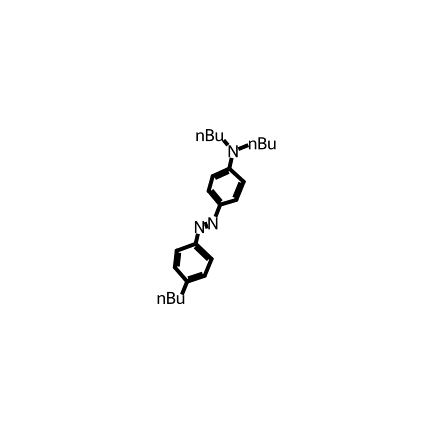 CCCCc1ccc(/N=N/c2ccc(N(CCCC)CCCC)cc2)cc1